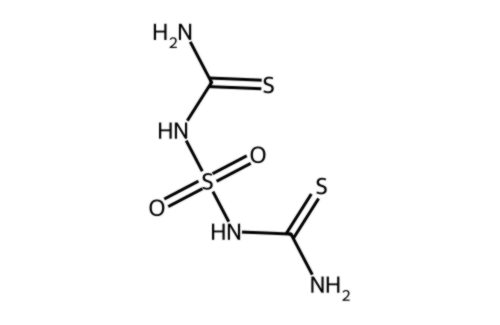 NC(=S)NS(=O)(=O)NC(N)=S